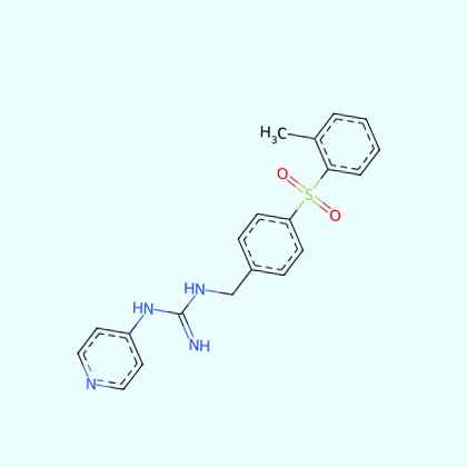 Cc1ccccc1S(=O)(=O)c1ccc(CNC(=N)Nc2ccncc2)cc1